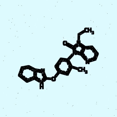 CCn1c(=O)n(-c2ccc(Oc3nc4ccccc4[nH]3)cc2C)c2ncccc21